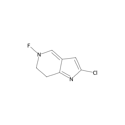 FN1C=C2C=C(Cl)N=C2CC1